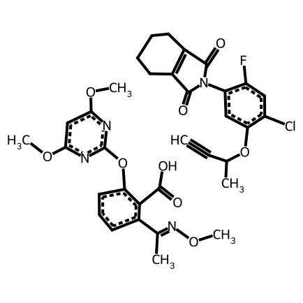 C#CC(C)Oc1cc(N2C(=O)C3=C(CCCC3)C2=O)c(F)cc1Cl.CON=C(C)c1cccc(Oc2nc(OC)cc(OC)n2)c1C(=O)O